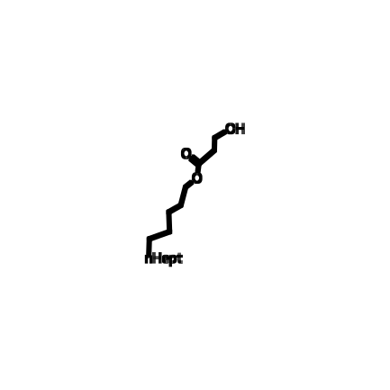 CCCCCCCCCCCCOC(=O)CCO